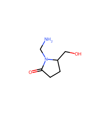 NCN1C(=O)CCC1CO